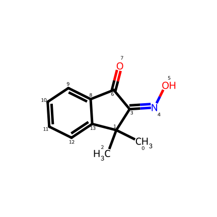 CC1(C)C(=NO)C(=O)c2ccccc21